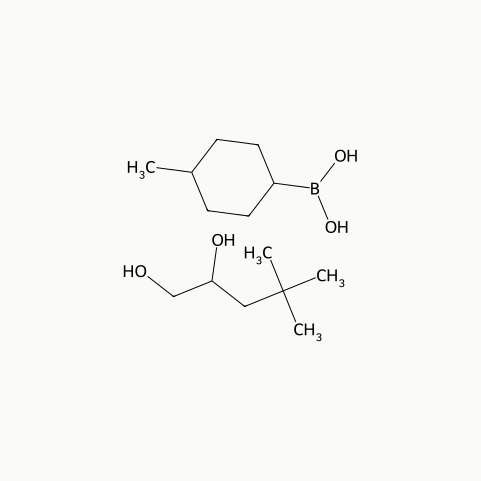 CC(C)(C)CC(O)CO.CC1CCC(B(O)O)CC1